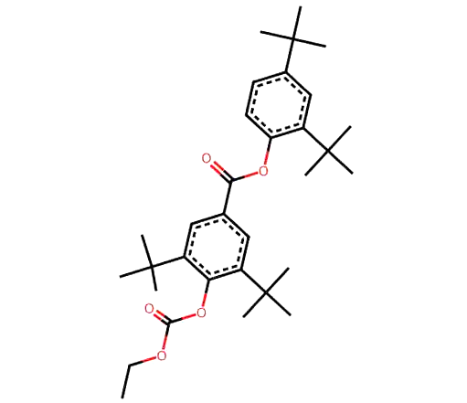 CCOC(=O)Oc1c(C(C)(C)C)cc(C(=O)Oc2ccc(C(C)(C)C)cc2C(C)(C)C)cc1C(C)(C)C